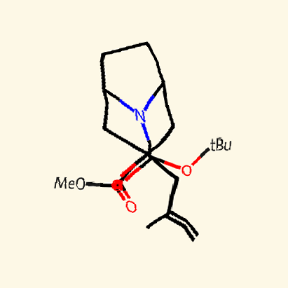 C=C(C)CC1(C(=O)OC)CC2CCC(C1)N2C(=O)OC(C)(C)C